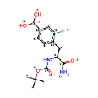 CC(C)(C)OC(=O)N[C@@H](Cc1ccc(B(O)O)cc1F)C(N)=O